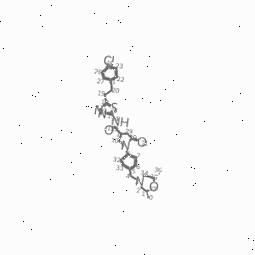 C[C@H]1CN(Cc2ccc(N3CC(C(=O)Nc4nnc(CCc5ccc(Cl)cc5)s4)CC3=O)cc2)C[C@H](C)O1